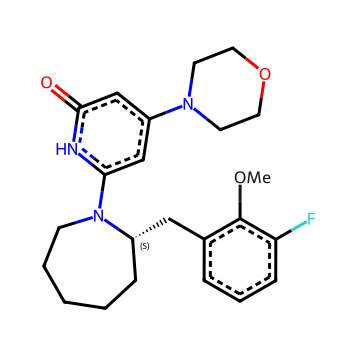 COc1c(F)cccc1C[C@@H]1CCCCCN1c1cc(N2CCOCC2)cc(=O)[nH]1